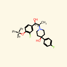 CC(C)[Si](Oc1ccc([C@@H](O)[C@@H](C)N2CCC(O)(c3ccc(F)cc3)CC2)cc1F)(C(C)C)C(C)C